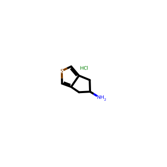 Cl.NC1Cc2cscc2C1